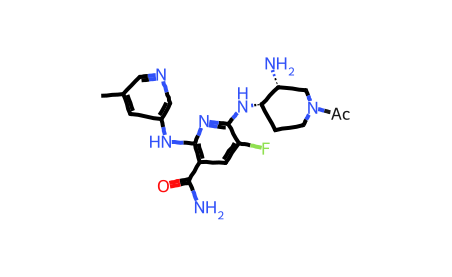 CC(=O)N1CC[C@H](Nc2nc(Nc3cncc(C)c3)c(C(N)=O)cc2F)[C@H](N)C1